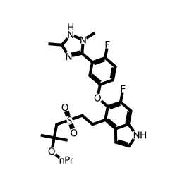 CCCOC(C)(C)CS(=O)(=O)CCc1c(Oc2ccc(F)c(C3=NC(C)NN3C)c2)c(F)cc2[nH]ccc12